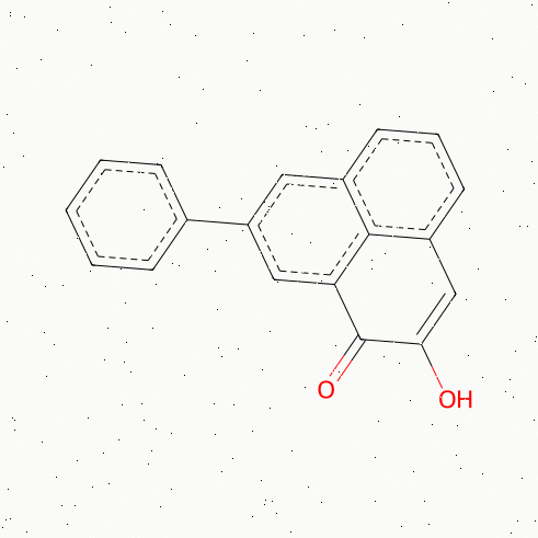 O=C1C(O)=Cc2cccc3cc(-c4ccccc4)cc1c23